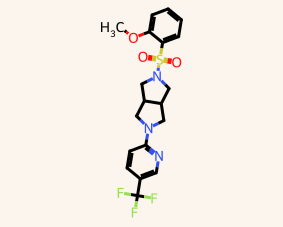 COc1ccccc1S(=O)(=O)N1CC2CN(c3ccc(C(F)(F)F)cn3)CC2C1